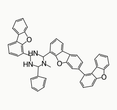 CN1C(c2ccccc2)NC(c2cccc3c2oc2ccccc23)NC1c1cccc2c1oc1cc(-c3cccc4oc5ccccc5c34)ccc12